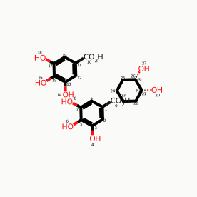 O=C(O)c1cc(O)c(O)c(O)c1.O=C(O)c1cc(O)c(O)c(O)c1.O[C@@H]1CCCC[C@@H]1O